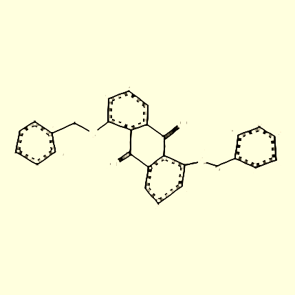 O=C1c2cccc(SCc3ccccc3)c2C(=O)c2cccc(SCc3ccccc3)c21